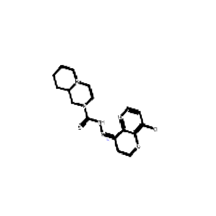 S=C(N/N=C1/CCOc2c(Cl)ccnc21)N1CCN2CCCCC2C1